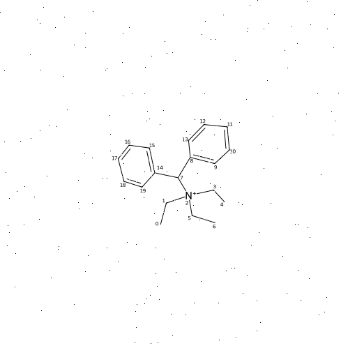 CC[N+](CC)(CC)C(c1ccccc1)c1ccccc1